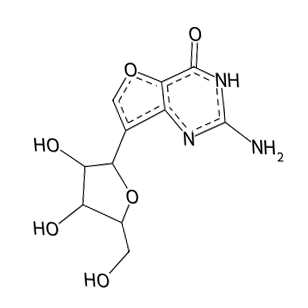 Nc1nc2c(C3OC(CO)C(O)C3O)coc2c(=O)[nH]1